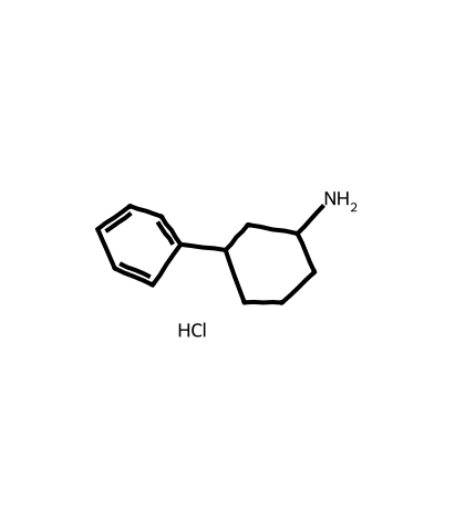 Cl.NC1CCCC(c2ccccc2)C1